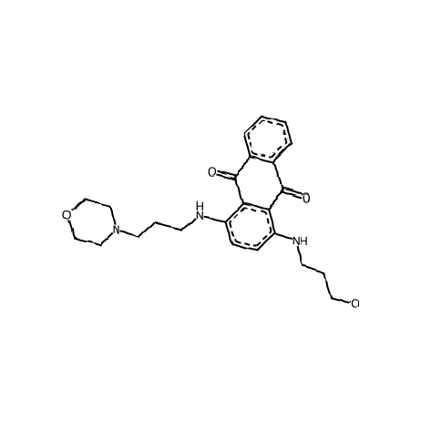 O=C1c2ccccc2C(=O)c2c(NCCCN3CCOCC3)ccc(NCCCCl)c21